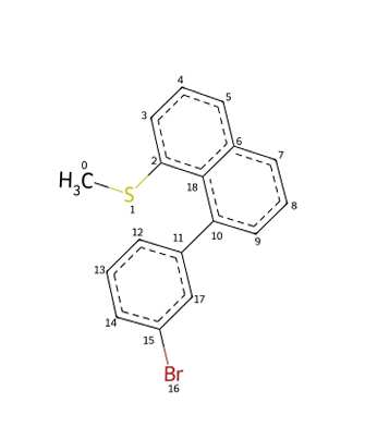 CSc1cccc2cccc(-c3cccc(Br)c3)c12